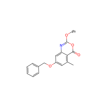 Cc1cc(OCc2ccccc2)cc2nc(OC(C)C)oc(=O)c12